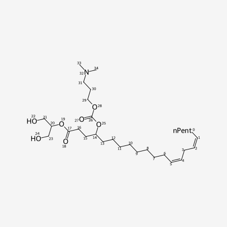 CCCCC/C=C\C/C=C\CCCCCCCCC(CCC(=O)OC(CO)CO)OC(=O)OCCCN(C)C